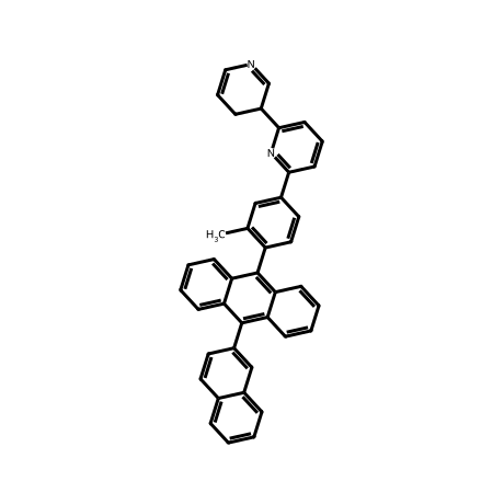 Cc1cc(-c2cccc(C3C=NC=CC3)n2)ccc1-c1c2ccccc2c(-c2ccc3ccccc3c2)c2ccccc12